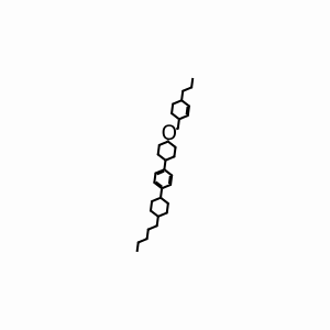 CCCCCC1CCC(c2ccc(C3CCC(OCC4C=CC(CCC)CC4)CC3)cc2)CC1